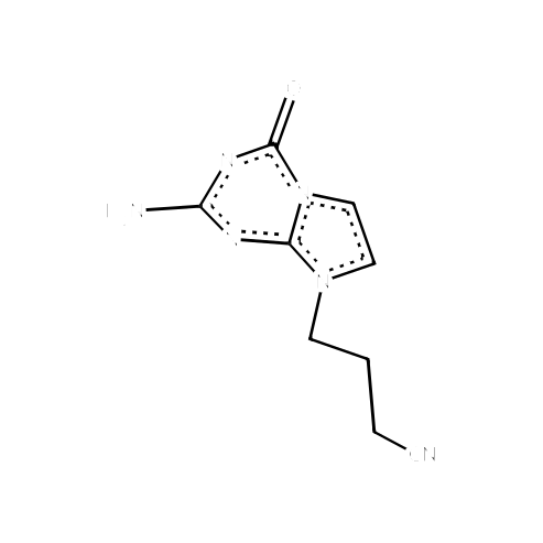 N#CCCCn1ccn2c(=O)nc(N)nc12